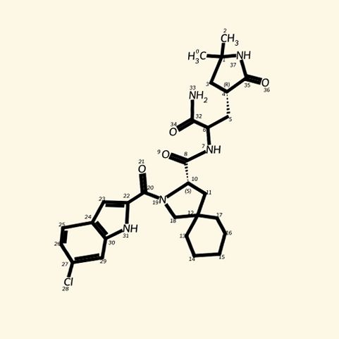 CC1(C)C[C@@H](CC(NC(=O)[C@@H]2CC3(CCCCC3)CN2C(=O)c2cc3ccc(Cl)cc3[nH]2)C(N)=O)C(=O)N1